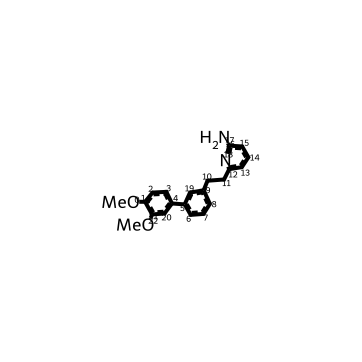 COc1ccc(-c2cccc(CCc3cccc(N)n3)c2)cc1OC